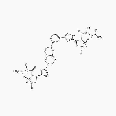 COC(=O)N[C@H](C(=O)N1[C@@H]2C[C@H]2C[C@H]1c1nc(-c2cccc(-c3ccc4cc(-c5c[nH]c([C@H]6C[C@@H]7C[C@@H]7N6C(=O)[C@@H](NC(=O)O)C(C)C)n5)ccc4c3)c2)c[nH]1)C(C)C